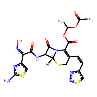 CC(=O)OC(C)OC(=O)C1=C(/C=C\c2csnn2)CS[C@@H]2C(NC(=O)/C(=N\O)c3csc(N)n3)C(=O)N12